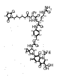 CC(C)[C@H](NC(=O)CCCCCN1C(=O)C=CC1=O)C(=O)N[C@@H](CCCNC(N)=O)C(=O)Nc1ccc(COC(=O)N[C@@H]2CN(c3c(F)cc4c(=O)c(C(O)O)cn([C@@H]5C[C@@H]5F)c4c3Cl)CC23CC3)cc1